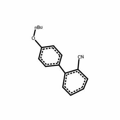 CCCCOc1ccc(-c2ccccc2C#N)cc1